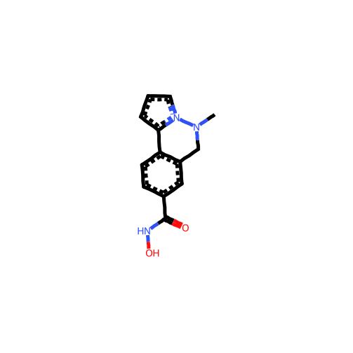 CN1Cc2cc(C(=O)NO)ccc2-c2cccn21